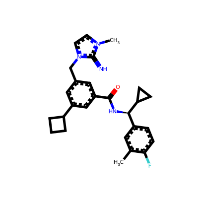 Cc1cc([C@@H](NC(=O)c2cc(Cn3ccn(C)c3=N)cc(C3CCC3)c2)C2CC2)ccc1F